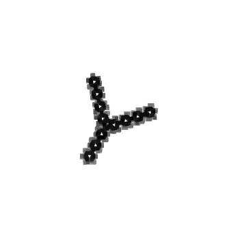 c1ccc(-c2ccc(-c3ccc(-c4ccc5c(c4)c4cc(-c6ccc(-c7ccc(-c8ccccc8)cc7)cc6)ccc4n5-c4ccc(-c5ccc(-c6ccccc6)cc5)cc4)cc3)cc2)cc1